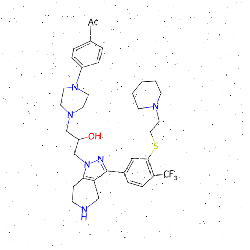 CC(=O)c1ccc(N2CCN(CC(O)Cn3nc(-c4ccc(C(F)(F)F)c(SCCN5CCCCC5)c4)c4c3CCNC4)CC2)cc1